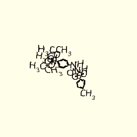 Cc1ccc(S(=O)(=O)NC(=O)Nc2ccc(P(=O)(OC(C)(C)C)OC(C)(C)C)cc2)cc1